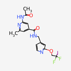 CC(=O)Nc1cc(C(=O)NCc2ccnc(OCC(F)(F)I)c2)cc(C)n1